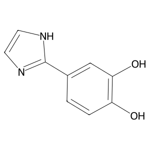 Oc1ccc(-c2ncc[nH]2)cc1O